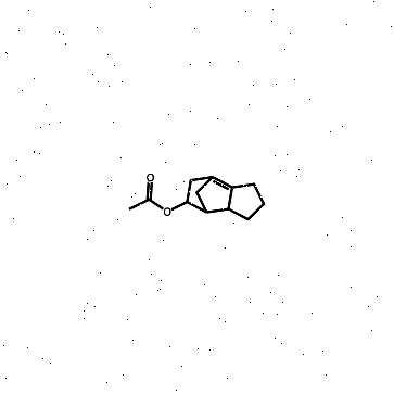 CC(=O)OC1CC2=C3CCCC3C1C2